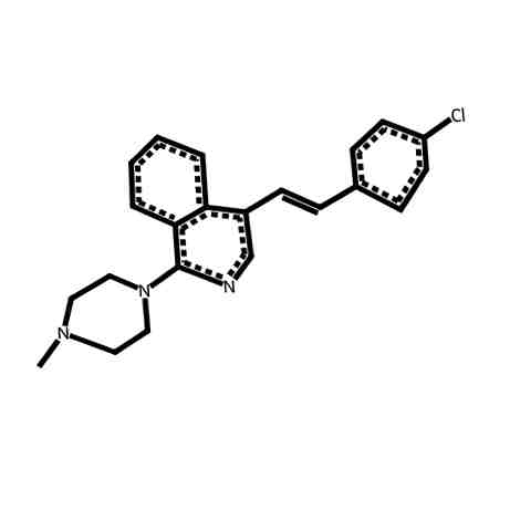 CN1CCN(c2ncc(/C=C/c3ccc(Cl)cc3)c3ccccc23)CC1